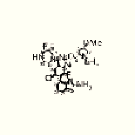 CO[C@@H]1C[C@@H](COc2nc(N3CCNCC(F)(F)C3)c3cc(Cl)c(-c4cccc5sc(N)nc45)c(F)c3n2)N(C)C1